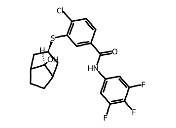 O=C(Nc1cc(F)c(F)c(F)c1)c1ccc(Cl)c(S[C@H]2CC3CCC(C2)[C@H]3O)c1